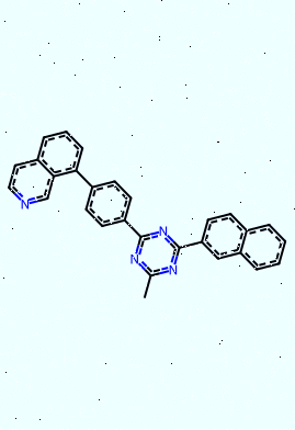 Cc1nc(-c2ccc(-c3cccc4ccncc34)cc2)nc(-c2ccc3ccccc3c2)n1